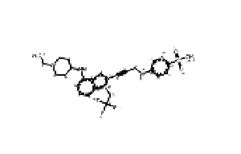 CCN1CCC(Nc2cccc3c2cc(C#CCNc2ccc(S(C)(=O)=O)nc2)n3CC(F)(F)F)CC1